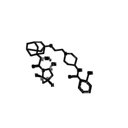 N#C[C@@H]1C[C@@H]2C[C@@H]2N1C(=O)[C@@H](N)C12CC3CC(CC(OCCN4CCC(NC(=O)c5ccccc5O)CC4)(C3)C1)C2